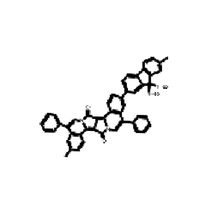 CCCCCCC1(CCCCCC)c2cc(C)ccc2-c2ccc(-c3ccc4c(c3)C(c3ccccc3)=CN3C(=O)C5=C6c7ccc(C)cc7C(c7ccccc7)=CN6C(=O)C5=C43)cc21